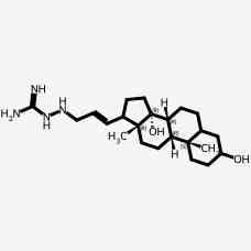 C[C@]12CCC(O)CC1CC[C@@H]1[C@H]2CC[C@]2(C)C(C=CCNNC(=N)N)CC[C@@]12O